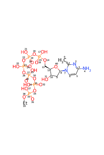 C=C1N=C(N)C=CN1[C@H]1CC(O)[C@@H](COP(=O)(O)OP(=O)(O)OP(=O)(O)OP(=O)(O)OP(=O)(O)OP(=O)(O)OCC)O1